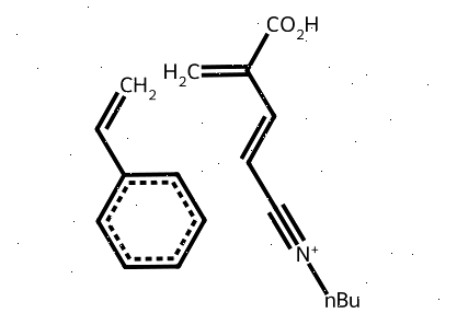 C=C(C=CC#[N+]CCCC)C(=O)O.C=Cc1ccccc1